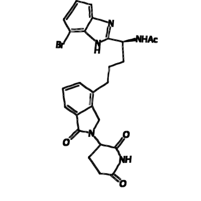 CC(=O)N[C@@H](CCCc1cccc2c1CN(C1CCC(=O)NC1=O)C2=O)c1nc2cccc(Br)c2[nH]1